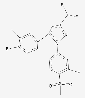 Cc1cc(-c2cc(C(F)F)nn2-c2ccc(S(C)(=O)=O)c(F)c2)ccc1Br